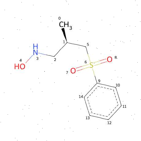 C[C@H](CNO)CS(=O)(=O)c1ccccc1